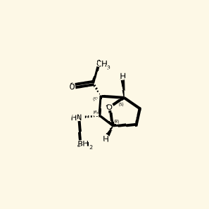 BN[C@@H]1[C@H](C(C)=O)[C@@H]2CC[C@H]1O2